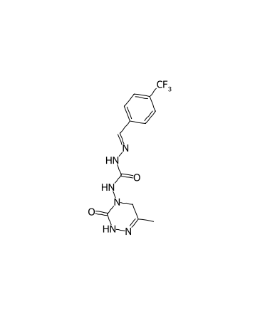 CC1=NNC(=O)N(NC(=O)N/N=C/c2ccc(C(F)(F)F)cc2)C1